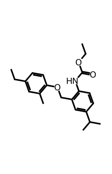 CCOC(=O)Nc1ccc(C(C)C)cc1COc1ccc(CC)cc1C